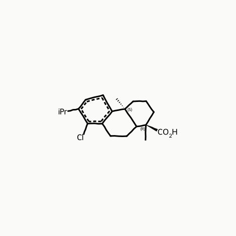 CC(C)c1ccc2c(c1Cl)CCC1[C@](C)(C(=O)O)CCC[C@]21C